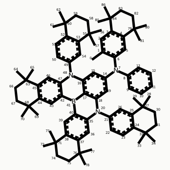 Cc1cc2c(cc1N(c1ccccc1)c1cc3c4c(c1)N(c1ccc5c(c1)C(C)(C)CCC5(C)C)c1cc5c(cc1B4c1cc4c(cc1N3c1ccc3c(c1)C(C)(C)CCC3(C)C)C(C)(C)CCC4(C)C)C(C)(C)CCC5(C)C)C(C)(C)CCC2(C)C